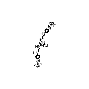 Cn1cc[n+](C)c1/N=N/c1ccc(NCCCNc2nc(Cl)nc(NCCCNc3ccc(/N=N/c4n(C)cc[n+]4C)cc3)n2)cc1